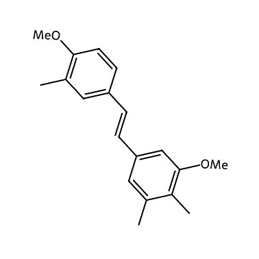 COc1ccc(C=Cc2cc(C)c(C)c(OC)c2)cc1C